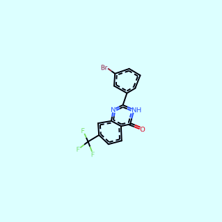 O=c1[nH]c(-c2cccc(Br)c2)nc2cc(C(F)(F)F)ccc12